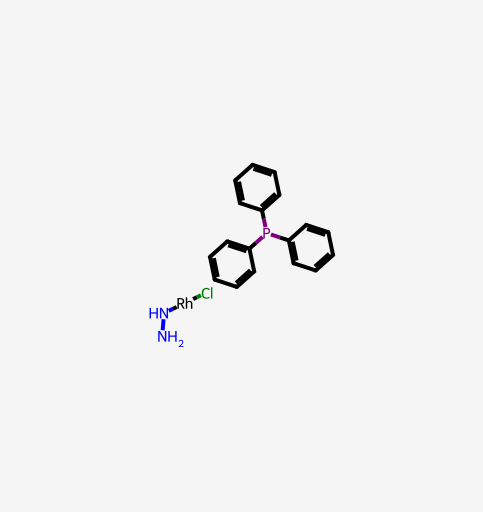 N[NH][Rh][Cl].c1ccc(P(c2ccccc2)c2ccccc2)cc1